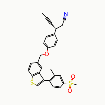 CC#C[C@@H](CC#N)c1ccc(OCc2ccc3scc(-c4ccc(S(C)(=O)=O)cc4C)c3c2)cc1